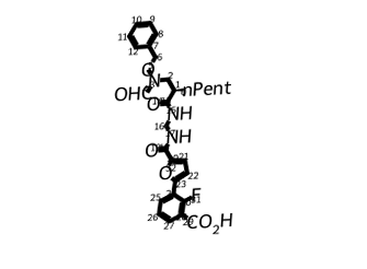 CCCCC[C@H](CN(C=O)OCc1ccccc1)C(=O)NCNC(=O)c1ccc(-c2cccc(C(=O)O)c2F)o1